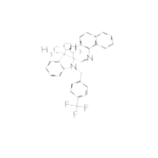 CC1(C)c2ccccc2N(Cc2ccc(C(F)(F)F)cc2)C12C=Nc1c(ccc3ccccc13)O2